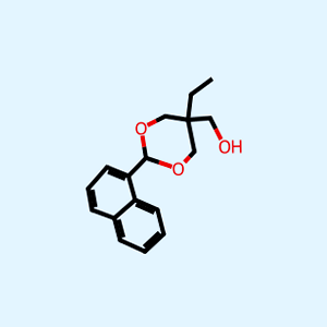 CCC1(CO)COC(c2cccc3ccccc23)OC1